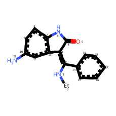 CCNC(=C1C(=O)Nc2ccc(N)cc21)c1ccccc1